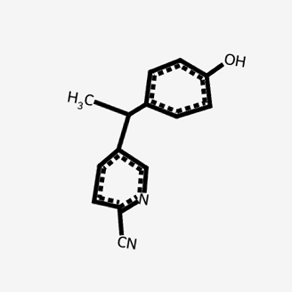 CC(c1ccc(O)cc1)c1ccc(C#N)nc1